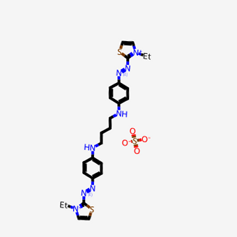 CC[n+]1ccsc1/N=N/c1ccc(NCCCCNc2ccc(/N=N/c3scc[n+]3CC)cc2)cc1.O=S(=O)([O-])[O-]